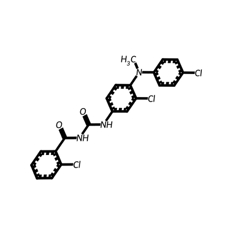 CN(c1ccc(Cl)cc1)c1ccc(NC(=O)NC(=O)c2ccccc2Cl)cc1Cl